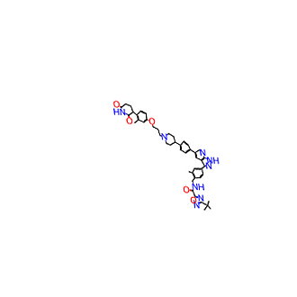 Cc1cc(-c2n[nH]c3ncc(-c4ccc(C5CCN(CCCOc6ccc(C7CCC(=O)NC7=O)c(C)c6)CC5)cc4)cc23)ccc1CNC(=O)c1nc(C(C)(C)C)no1